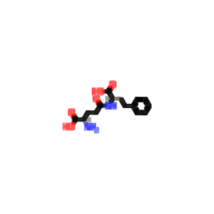 N[C@@H](CCC(=O)N[C@@H](CCc1ccccc1)C(=O)O)C(=O)O